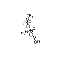 C[C@@H](OC(=O)Nc1ccc(-c2c(N)c3ccc(OCC4COCO4)cc3n2C2CCC2)cc1)C(F)(F)F